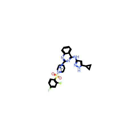 O=S(=O)(c1ccc(F)cc1F)N1CC2CCC1CN2c1nc(Nc2cc(C3CC3)[nH]n2)c2ccccc2n1